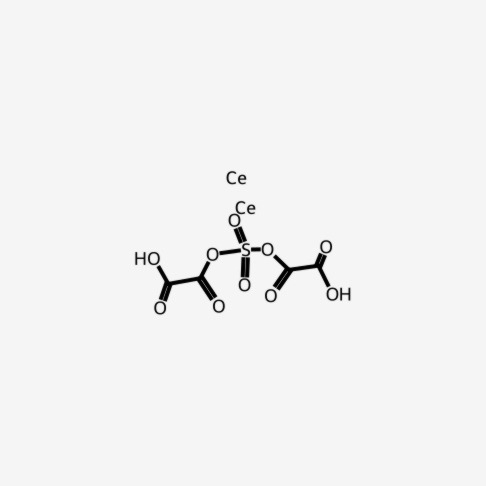 O=C(O)C(=O)OS(=O)(=O)OC(=O)C(=O)O.[Ce].[Ce]